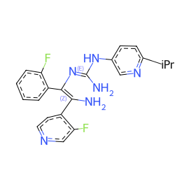 CC(C)c1ccc(N/C(N)=N/C(=C(\N)c2ccncc2F)c2ccccc2F)cn1